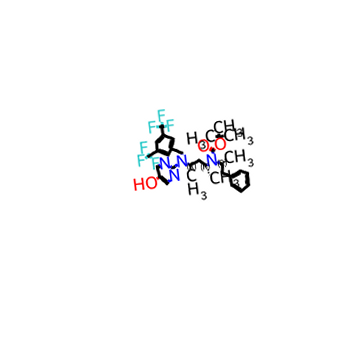 CC[C@H](C[C@@H](C)N(Cc1cc(C(F)(F)F)cc(C(F)(F)F)c1)c1ncc(O)cn1)N(C(=O)OC(C)(C)C)[C@H](C)Cc1ccccc1